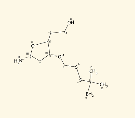 B[C@H]1C[C@@H](OCSSC(B)(C)C)C(CCO)O1